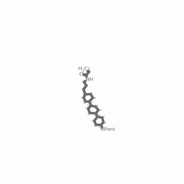 C=CC(=O)NCCCC1CCC(C2CCC(C3CCC(CCCCC)CC3)CC2)CC1